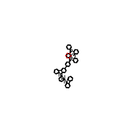 c1ccc(P(c2ccccc2)c2ccccc2Oc2ccccc2P(c2ccccc2)c2ccc(-c3ccc4c(c3)c3ccccc3n4-c3cccc(-n4c5ccccc5c5ccccc54)n3)cc2)cc1